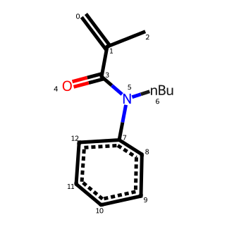 C=C(C)C(=O)N(CCCC)c1ccccc1